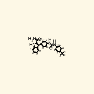 CC(C)(C)c1ccc(NC(=O)Nc2ccc(-c3c(C(N)=O)[nH]c4ccccc34)cc2)cc1